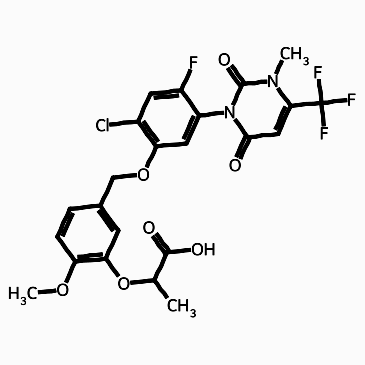 COc1ccc(COc2cc(-n3c(=O)cc(C(F)(F)F)n(C)c3=O)c(F)cc2Cl)cc1OC(C)C(=O)O